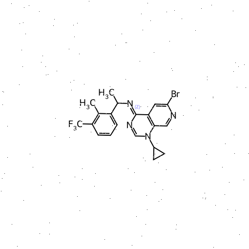 Cc1c(C(C)/N=c2\ncn(C3CC3)c3cnc(Br)cc23)cccc1C(F)(F)F